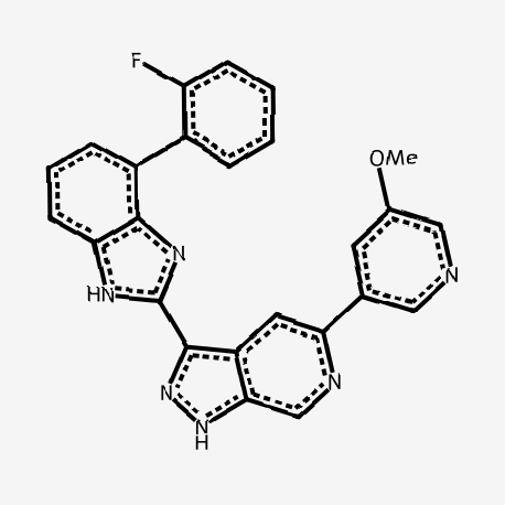 COc1cncc(-c2cc3c(-c4nc5c(-c6ccccc6F)cccc5[nH]4)n[nH]c3cn2)c1